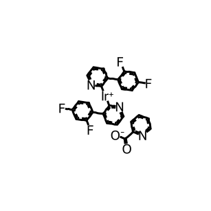 Fc1ccc(-c2cccn[c]2[Ir+][c]2ncccc2-c2ccc(F)cc2F)c(F)c1.O=C([O-])c1ccccn1